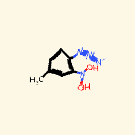 Cc1ccc(N=[N+]=[N-])c(N(O)O)c1